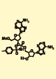 CCO[C@@H]1C[C@H](n2cnc3c(N)ncnc32)OC1COP(=O)(NS(=O)(=O)c1ccc(C)cc1)O[C@@H]1C[C@H](n2cnc3c(N)ncnc32)OC1COC